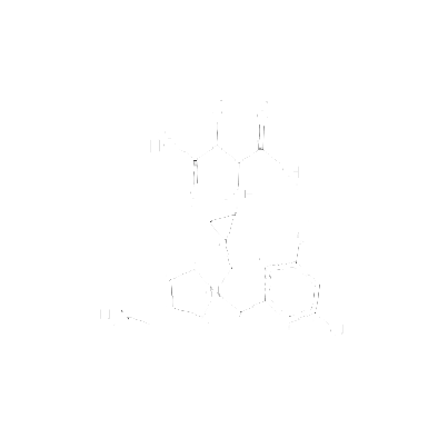 NC[C@@H]1CC[N+](Cc2cc(Cl)cc(Cl)c2)(CC2CC2)C1.O=C(O)C(O)C(O)C(=O)O